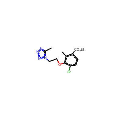 CCOC(=O)c1ccc(Br)c(OCCn2nnnc2C)c1C